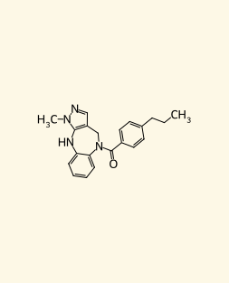 CCCc1ccc(C(=O)N2Cc3cnn(C)c3Nc3ccccc32)cc1